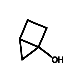 OC12CCC1C2